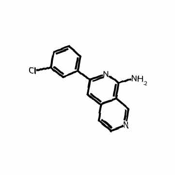 Nc1nc(-c2cccc(Cl)c2)cc2ccncc12